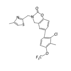 Cc1csc(CN2Cc3cc(-c4ccc(OC(F)(F)F)c(C)c4Cl)ccc3OC2=O)n1